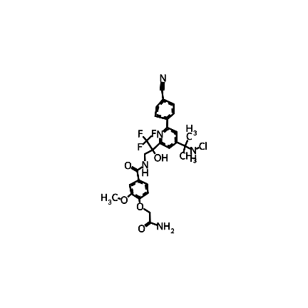 COc1cc(C(=O)NCC(O)(c2cc(C(C)(C)NCl)cc(-c3ccc(C#N)cc3)n2)C(F)(F)F)ccc1OCC(N)=O